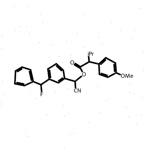 COc1ccc(C(C(=O)OC(C#N)c2cccc(C(F)c3ccccc3)c2)C(C)C)cc1